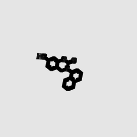 O=C1Oc2cc(O)ccc2CN1c1cccc2ccccc12